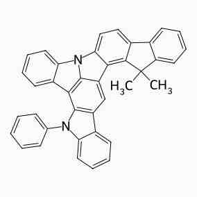 CC1(C)c2ccccc2-c2ccc3c(c21)c1cc2c4ccccc4n(-c4ccccc4)c2c2c4ccccc4n3c12